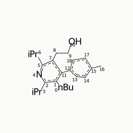 CCCCc1c(C(C)C)nc(C(C)C)c(CCO)c1-c1ccc(C)cc1